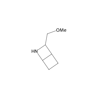 COCC1NC2CCC21